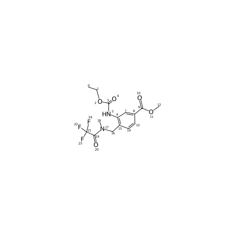 CCOC(=O)Nc1cc(C(=O)OC)ccc1CN(C)C(=O)C(F)(F)F